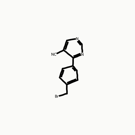 N#Cc1cncnc1-c1ccc(CBr)cc1